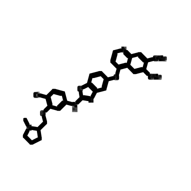 COc1cc2nccc(Oc3ccc4oc(Nc5ccc(Cl)c(OCC6CCCN6C)c5)nc4c3)c2cc1OC